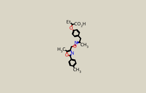 CCC(Oc1ccc(CC(C)=NOCc2nc(-c3ccc(C)cc3)oc2C)cc1)C(=O)O